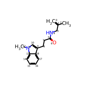 C=C(C)CNC(=O)CCc1cn(C)c2ccccc12